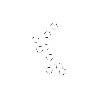 c1ccc(-c2ccc(N(c3ccccc3)c3ccc(-c4ccc(-n5c6ccccc6c6c7ccccc7ccc65)cc4)c4ccccc34)cc2)cc1